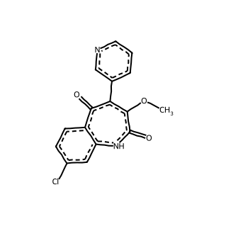 COc1c(-c2cccnc2)c(=O)c2ccc(Cl)cc2[nH]c1=O